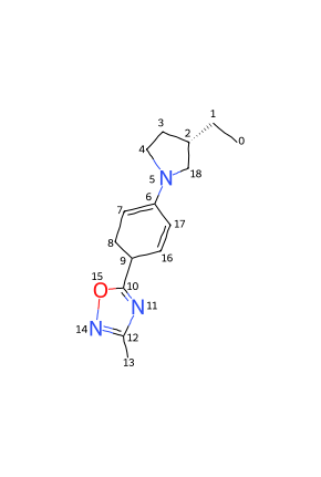 CC[C@H]1CCN(C2=CCC(c3nc(C)no3)C=C2)C1